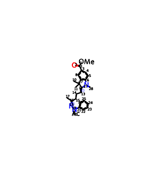 COC(=O)c1ccc2c(c1)C(C)(C)/C(=C\CC/C(C)=N\N(C(C)=O)c1ccccc1)N2C